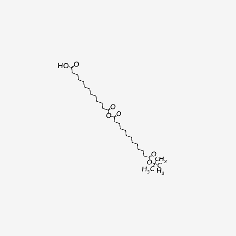 CC(C)(C)OC(=O)CCCCCCCCCCCC(=O)OC(=O)CCCCCCCCCCCC(=O)O